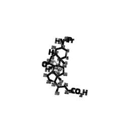 CC(C)NC1CC[C@@]2(C)[C@H](CC(=O)[C@@H]3[C@]2(C)CC[C@]2(C)[C@@H]([C@H](C)CCC(=O)O)CC[C@@]32C)C1